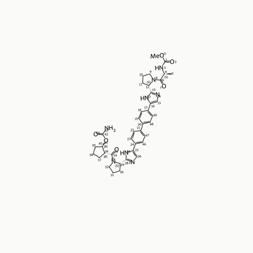 COC(=O)N[C@@H](C)C(=O)N1CCC[C@H]1c1ncc(-c2ccc(-c3ccc(-c4cnc([C@@H]5CCCN5C(=O)[C@@H]5CCC[C@H]5OC(N)=O)[nH]4)cc3)cc2)[nH]1